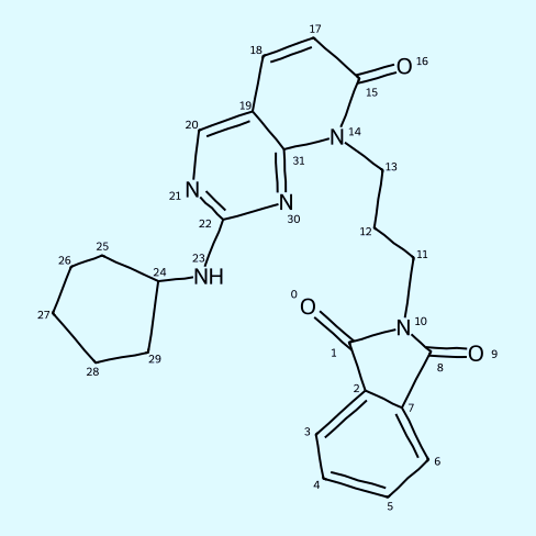 O=C1c2ccccc2C(=O)N1CCCn1c(=O)ccc2cnc(NC3CCCCC3)nc21